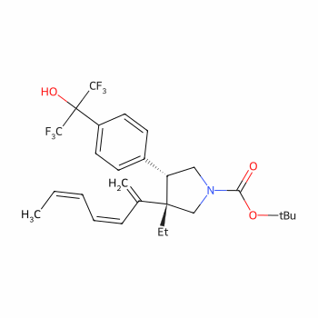 C=C(/C=C\C=C/C)[C@@]1(CC)CN(C(=O)OC(C)(C)C)C[C@H]1c1ccc(C(O)(C(F)(F)F)C(F)(F)F)cc1